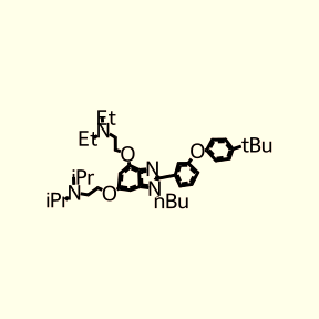 CCCCn1c(-c2cccc(Oc3ccc(C(C)(C)C)cc3)c2)nc2c(OCCN(CC)CC)cc(OCCN(C(C)C)C(C)C)cc21